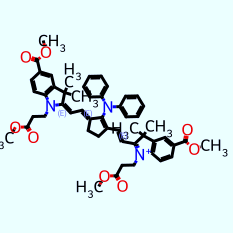 COC(=O)CCN1/C(=C/C=C2\CCC(/C=C/C3=[N+](CCC(=O)OC)c4ccc(C(=O)OC)cc4C3(C)C)=C2N(c2ccccc2)c2ccccc2)C(C)(C)c2cc(C(=O)OC)ccc21